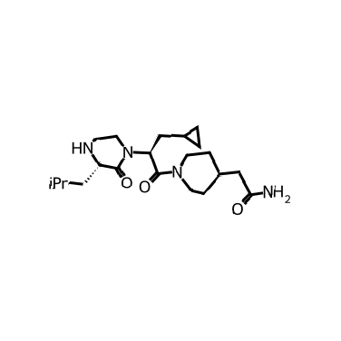 CC(C)C[C@@H]1NCCN([C@@H](CC2CC2)C(=O)N2CCC(CC(N)=O)CC2)C1=O